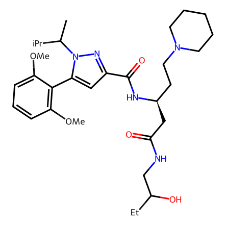 CCC(O)CNC(=O)C[C@H](CCN1CCCCC1)NC(=O)c1cc(-c2c(OC)cccc2OC)n(C(C)C(C)C)n1